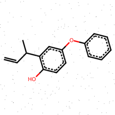 C=CC(C)c1cc(Oc2ccccc2)ccc1O